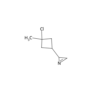 CC1(Cl)CC(C2C=N2)C1